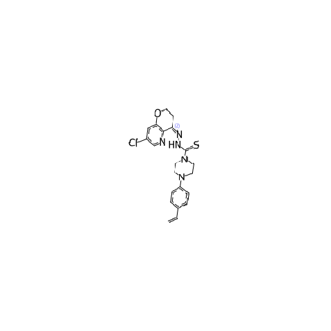 C=Cc1ccc(N2CCN(C(=S)N/N=C3/CCOc4cc(Cl)cnc43)CC2)cc1